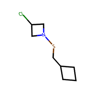 ClC1CN(SCC2CCC2)C1